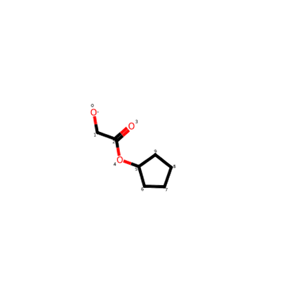 [O]CC(=O)OC1CCCC1